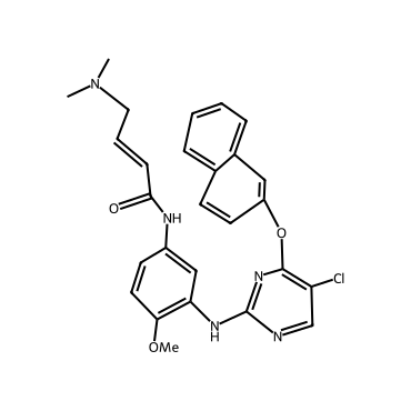 COc1ccc(NC(=O)/C=C/CN(C)C)cc1Nc1ncc(Cl)c(Oc2ccc3ccccc3c2)n1